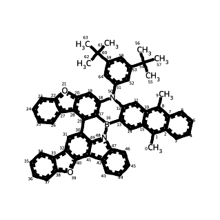 Cc1c2ccccc2c(C)c2cc3c(cc12)B1c2c(cc4oc5ccccc5c4c2-c2cc4c5ccccc5oc4c4c5ccccc5n1c24)N3c1cc(C(C)(C)C)cc(C(C)(C)C)c1